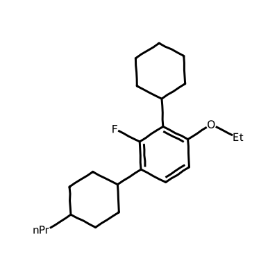 CCCC1CCC(c2ccc(OCC)c(C3CCCCC3)c2F)CC1